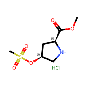 COC(=O)[C@@H]1C[C@H](OS(C)(=O)=O)CN1.Cl